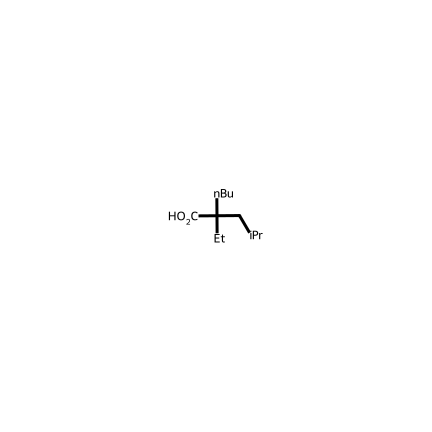 CCCCC(CC)(CC(C)C)C(=O)O